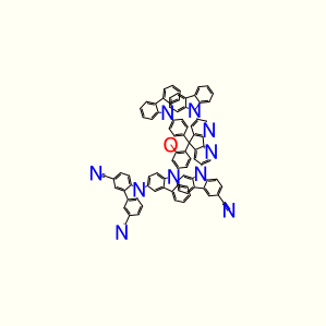 N#Cc1ccc2c(c1)c1ccccc1n2-c1cnc2c(c1)C1(c3ccc(-n4c5ccccc5c5ccccc54)cc3Oc3cc(-n4c5ccccc5c5cc(-n6c7ccc(C#N)cc7c7cc(C#N)ccc76)ccc54)ccc31)c1cc(-n3c4ccccc4c4ccccc43)cnc1-2